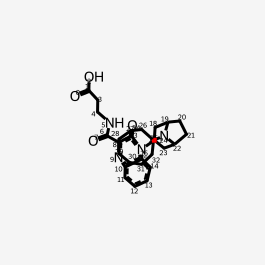 O=C(O)CCNC(=O)c1nc2ccccc2n(C2CC3CCC(C2)N3C2CCCCCCC2)c1=O